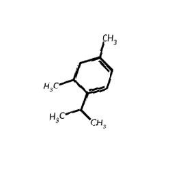 CC1=CC=C(C(C)C)C(C)C1